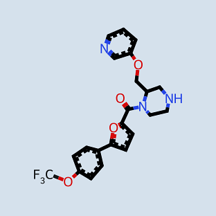 O=C(c1ccc(-c2ccc(OC(F)(F)F)cc2)o1)N1CCNCC1COc1cccnc1